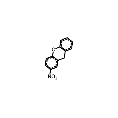 O=[N+]([O-])c1ccc2c(c1)Cc1ccccc1O2